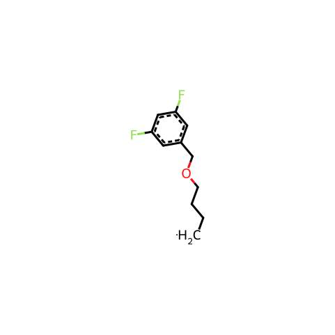 [CH2]CCCOCc1cc(F)cc(F)c1